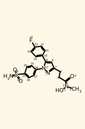 CN(O)C(=O)CCc1cc(-c2ccc(F)cc2)n(-c2ccc(S(N)(=O)=O)cc2)n1